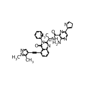 Cc1c(C#Cc2cccc3nc([C@@H](C)NC(=O)c4nc(C5=CCC=N5)cnc4N)n(-c4ccccc4)c(=O)c23)cnn1C